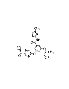 CC[C@H](C)Oc1cc(Oc2cnc(C(=O)N3CCC3)cn2)cc(C(=O)Nc2ccn(C)n2)c1